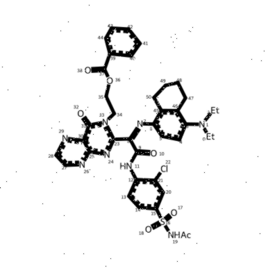 CCN(CC)c1ccc(/N=C(\C(=O)Nc2ccc(S(=O)(=O)NC(C)=O)cc2Cl)c2nc3nccnc3c(=O)n2CCOC(=O)c2ccccc2)c2c1CCCC2